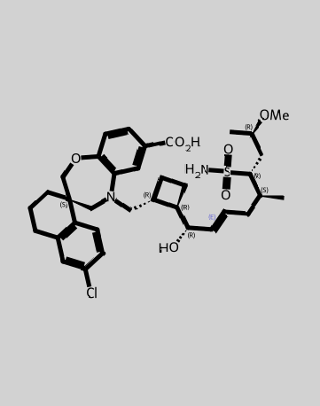 CO[C@H](C)C[C@H]([C@@H](C)C/C=C/[C@H](O)[C@@H]1CC[C@H]1CN1C[C@@]2(CCCc3cc(Cl)ccc32)COc2ccc(C(=O)O)cc21)S(N)(=O)=O